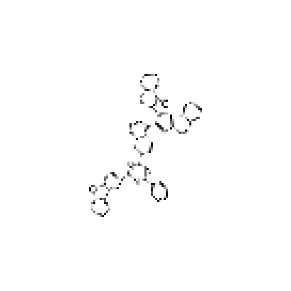 c1ccc(-c2nc(-c3ccc4c(-c5cc6ccc7ccccc7c6c6oc7c8ccccc8ccc7c56)cccc4c3)nc(-c3ccc4oc5ccccc5c4c3)n2)cc1